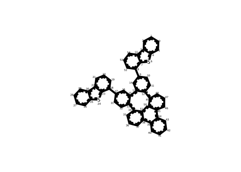 c1ccc2c(c1)sc1c(-c3ccc4c(c3)c3cc(-c5cccc6c5sc5ccccc56)ccc3c3cccc5c6ccccc6c6cccc4c6c35)cccc12